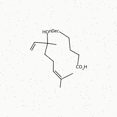 C=CC(C)(O)CCC=C(C)C.CCCCCCCCCCCCCC(=O)O